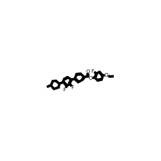 CCOc1ccc(OC(=O)c2ccc(-c3ccc(C4CCC(C)CC4)c(F)c3F)cc2)c(F)c1